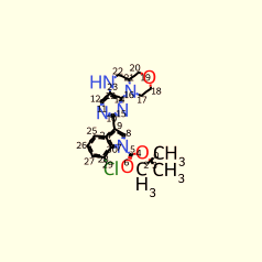 CC(C)(C)OC(=O)n1cc(-c2ncc3c(n2)N2CCOCC2CN3)c2cccc(Cl)c21